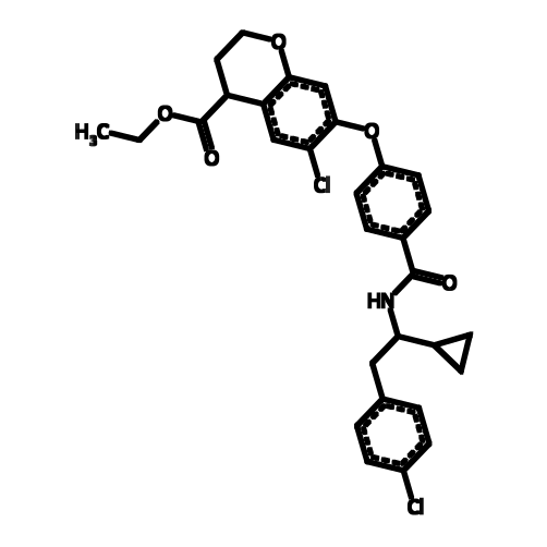 CCOC(=O)C1CCOc2cc(Oc3ccc(C(=O)NC(Cc4ccc(Cl)cc4)C4CC4)cc3)c(Cl)cc21